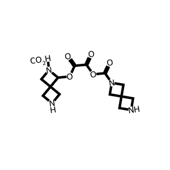 O=C(OC(=O)N1CC2(CNC2)C1)C(=O)OC1N(C(=O)O)CC12CNC2